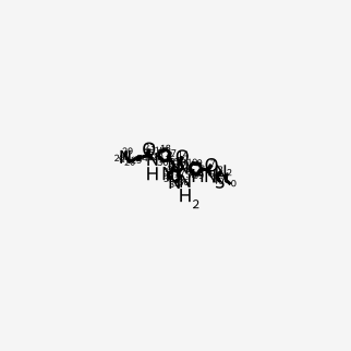 Cc1cnc(NC(=O)c2ccc(-n3c(=O)n(-c4cccc(NC(=O)C#CCN(C)C)c4)c4ncnc(N)c43)cc2)s1